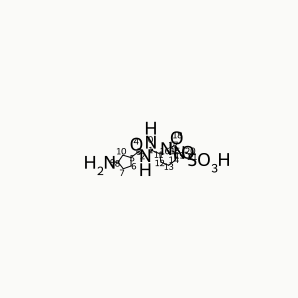 N=C(NC(=O)C1CCC(N)C1)C1CCC2CN1C(=O)N2OS(=O)(=O)O